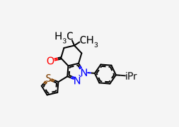 CC(C)c1ccc(-n2nc(-c3cccs3)c3c2CC(C)(C)CC3=O)cc1